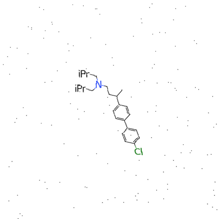 CC(C)CN(CCC(C)c1ccc(-c2ccc(Cl)cc2)cc1)CC(C)C